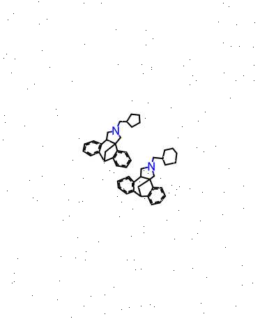 c1ccc2c(c1)C1CC3(CN(CC4CCCC4)CC23)c2ccccc21.c1ccc2c(c1)C1CC3(CN(CC4CCCCC4)CC23)c2ccccc21